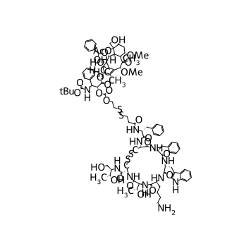 CO[C@H]1C(=O)[C@]2(C)[C@@H](OC)C[C@H]3OC[C@@]3(OC(C)=O)[C@H]2[C@H](OC(O)c2ccccc2)[C@]2(O)C[C@H](OC(=O)[C@H](OC(=O)OCCSSCCC(=O)N[C@H](Cc3ccccc3)C(=O)N[C@H]3CSSC[C@@H](C(=O)N[C@H](CO)[C@@H](C)O)NC(=O)[C@H]([C@@H](C)O)NC(=O)[C@H](CCCCN)NC(=O)[C@@H](Cc4c[nH]c5ccccc45)NC(=O)[C@H](Cc4ccccc4)NC3=O)[C@@H](NC(=O)OC(C)(C)C)c3ccccc3)C(C)=C1C2(C)C